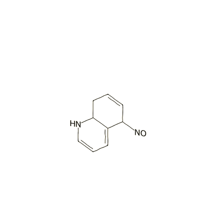 O=NC1C=CCC2NC=CC=C12